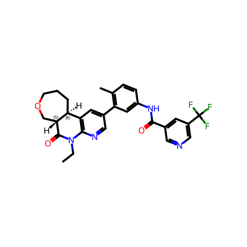 CCN1C(=O)[C@@H]2COCCC[C@H]2c2cc(-c3cc(NC(=O)c4cncc(C(F)(F)F)c4)ccc3C)cnc21